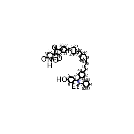 CC/C(=C(\c1ccc(O)cc1)c1ccc(CCCN2CCC(CN3CCN(c4ccc5c(c4)C(=O)N(C4CCC(=O)NC4=O)C5=O)CC3)CC2)cc1)c1ccccc1